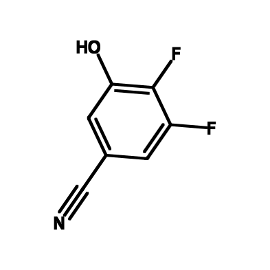 N#Cc1cc(O)c(F)c(F)c1